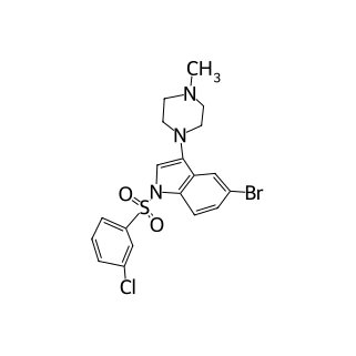 CN1CCN(c2cn(S(=O)(=O)c3cccc(Cl)c3)c3ccc(Br)cc23)CC1